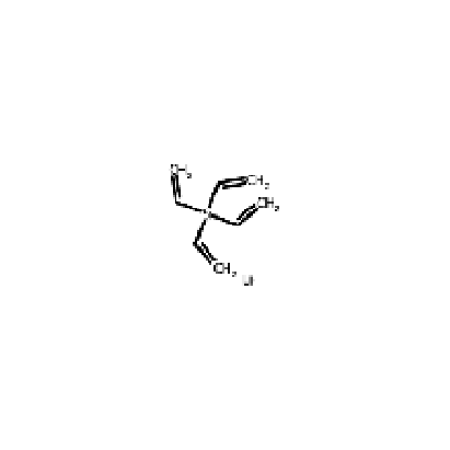 C=C[Si](C=C)(C=C)C=C.[Li]